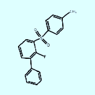 Cc1ccc(S(=O)(=O)c2cccc(-c3ccccc3)c2F)cc1